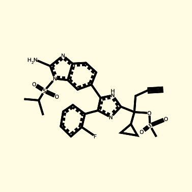 C#CCC(OS(C)(=O)=O)(c1nc(-c2ccccc2F)c(-c2ccc3nc(N)n(S(=O)(=O)C(C)C)c3c2)[nH]1)C1CC1